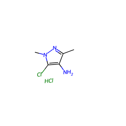 Cc1nn(C)c(Cl)c1N.Cl